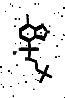 C[N+](C)(C)CCNS(=O)(=O)c1ccc(F)c2n[se]nc12.[Cl-]